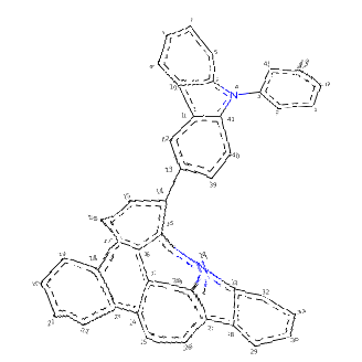 c1ccc(-n2c3ccccc3c3cc(-c4ccc5c6ccccc6c6ccc7c8ccccc8n8c4c5c6c78)ccc32)cc1